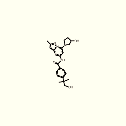 Cc1cc2nc(NC(=O)c3ccc(C(C)(C)CO)cc3)cc(N3CCC(O)C3)n2n1